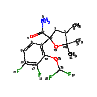 CC1CC(C(N)=O)(c2ccc(F)c(F)c2OC(F)F)OC1(C)C(F)(F)F